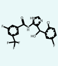 O=C(Nc1[nH]cnc1C(O)c1cc(F)ccc1Cl)c1cc(F)cc(C(F)(F)F)c1